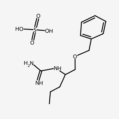 CCCC(COCc1ccccc1)NC(=N)N.O=S(=O)(O)O